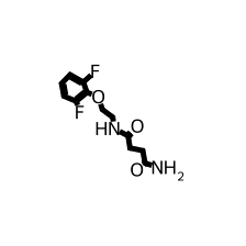 NC(=O)CCC(=O)NCCOc1c(F)cccc1F